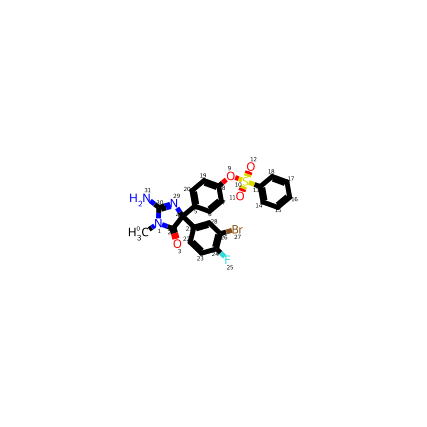 CN1C(=O)C(c2ccc(OS(=O)(=O)c3ccccc3)cc2)(c2ccc(F)c(Br)c2)N=C1N